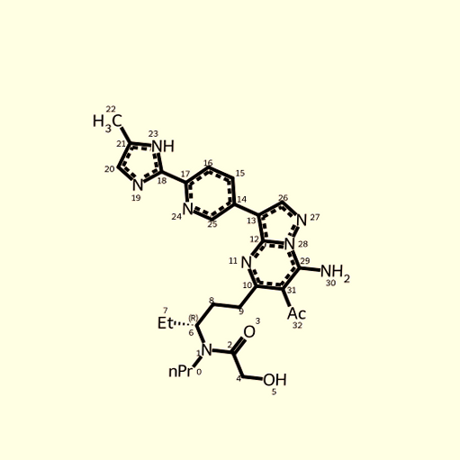 CCCN(C(=O)CO)[C@H](CC)CCc1nc2c(-c3ccc(-c4ncc(C)[nH]4)nc3)cnn2c(N)c1C(C)=O